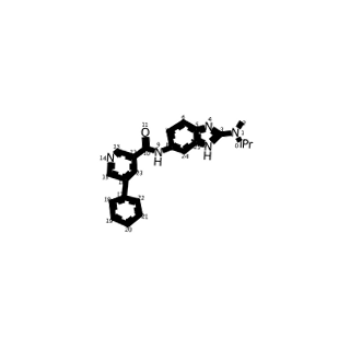 CC(C)N(C)c1nc2ccc(NC(=O)c3cncc(-c4ccccc4)c3)cc2[nH]1